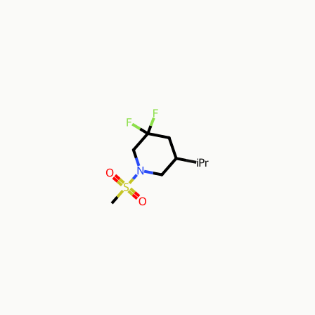 CC(C)C1CN(S(C)(=O)=O)CC(F)(F)C1